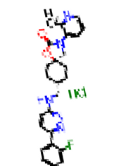 Cc1ncccc1N1C[C@]2(CC[C@@H](CNc3ccc(-c4ccccc4F)nn3)CC2)OC1=O.Cl